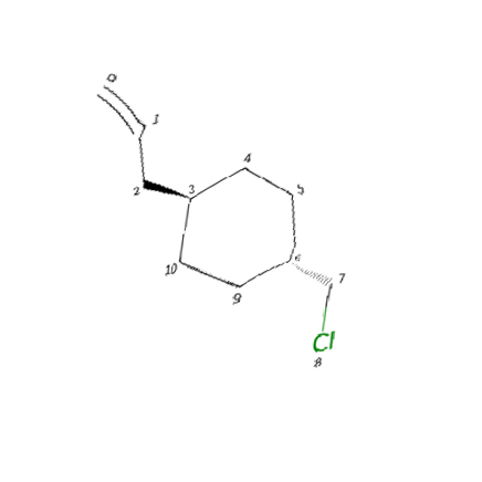 C=CC[C@H]1CC[C@H](CCl)CC1